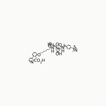 Cc1ncsc1-c1ccc([C@H](C)NC(=O)[C@@H]2C[C@@H](O)CN2C(=O)[C@@H](NC(=O)CCCCCCOc2cccc(-c3cccnc3C(=O)O)c2C)C(C)(C)C)cc1